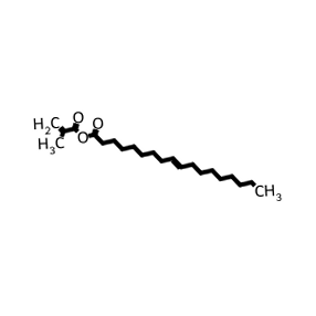 C=C(C)C(=O)OC(=O)CCCCCCCC=CCCCCCCCC